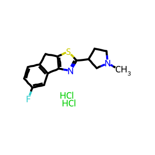 CN1CCC(c2nc3c(s2)Cc2ccc(F)cc2-3)C1.Cl.Cl